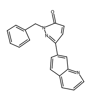 O=c1ccc(-c2ccc3cccnc3c2)nn1Cc1ccccc1